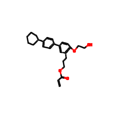 C=CC(=O)OCCCc1cc(-c2ccc(C3CCCCC3)cc2)ccc1OCCO